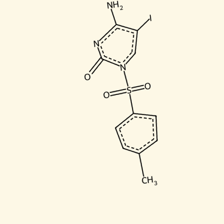 Cc1ccc(S(=O)(=O)n2cc(I)c(N)nc2=O)cc1